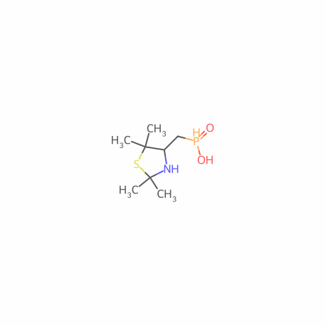 CC1(C)NC(C[PH](=O)O)C(C)(C)S1